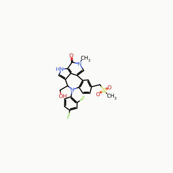 Cn1cc2c3c(c[nH]c3c1=O)C(CO)N(c1ccc(F)cc1F)c1ccc(CS(C)(=O)=O)cc1-2